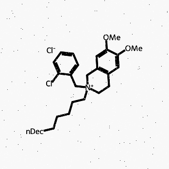 CCCCCCCCCCCCCCC[N+]1(Cc2ccccc2Cl)CCc2cc(OC)c(OC)cc2C1.[Cl-]